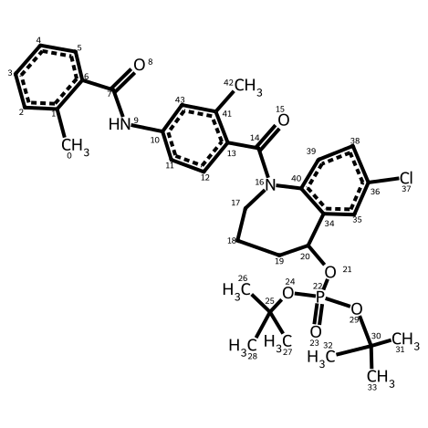 Cc1ccccc1C(=O)Nc1ccc(C(=O)N2CCCC(OP(=O)(OC(C)(C)C)OC(C)(C)C)c3cc(Cl)ccc32)c(C)c1